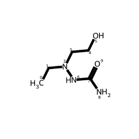 CCN(CCO)NC(N)=O